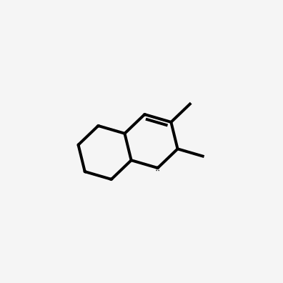 CC1=CC2CCCCC2[C]C1C